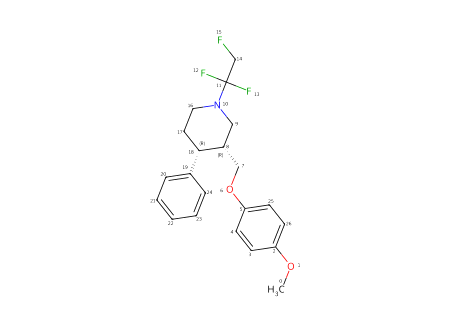 COc1ccc(OC[C@H]2CN(C(F)(F)CF)CC[C@H]2c2ccccc2)cc1